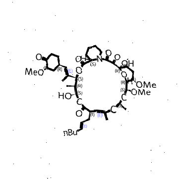 CCCC/C=C/C[C@@H]1/C=C(\C)C[C@H](C)C[C@H](OC)[C@H]2O[C@@](O)(C(=O)C(=O)N3CCCC[C@H]3C(=O)O[C@H](/C(C)=C/[C@@H]3CCC(=O)[C@H](OC)C3)[C@H](C)[C@@H](O)CC1=O)[C@H](C)C[C@@H]2OC